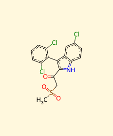 CS(=O)(=O)CC(=O)c1[nH]c2ccc(Cl)cc2c1-c1c(Cl)cccc1Cl